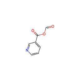 O=COC(=O)c1cccnc1